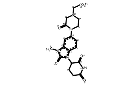 Cn1c(=O)n(C2CCC(=O)NC2=O)c2ccc(N3CCN(CC(=O)O)CC3=O)cc21